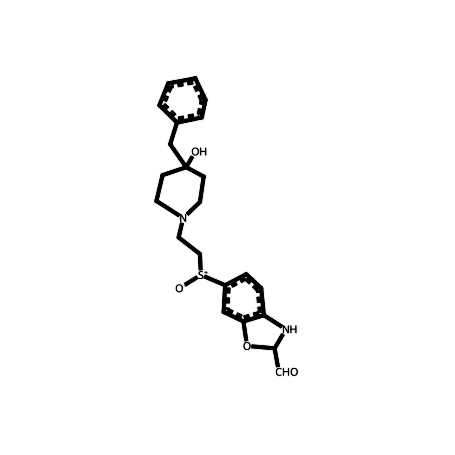 O=CC1Nc2ccc([S+]([O-])CCN3CCC(O)(Cc4ccccc4)CC3)cc2O1